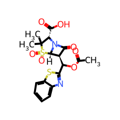 CC(=O)OC(c1nc2ccccc2s1)[C@@H]1C(=O)N2[C@@H](C(=O)O)C(C)(C)S(=O)(=O)[C@H]12